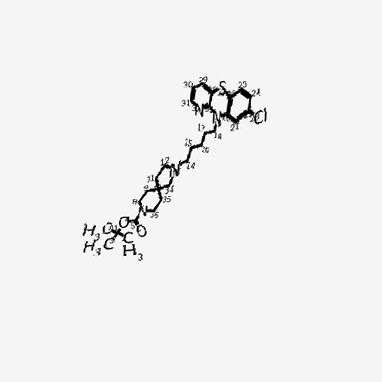 CC(C)(C)OC(=O)N1CCC2(CCN(CCCCCN3c4cc(Cl)ccc4Sc4cccnc43)C2)CC1